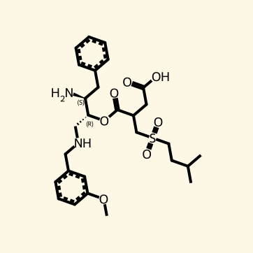 COc1cccc(CNC[C@@H](OC(=O)C(CC(=O)O)CS(=O)(=O)CCC(C)C)[C@@H](N)Cc2ccccc2)c1